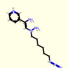 [N-]=[N+]=NCCCCCCN(N)/C=C(\N)c1cccnc1